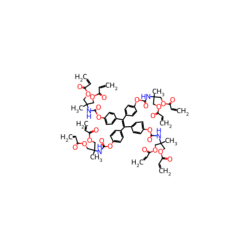 C=CC(=O)OCC(C)(COC(=O)C=C)NC(=O)Oc1ccc(C(=C(c2ccc(OC(=O)NC(C)(COC(=O)C=C)COC(=O)C=C)cc2)c2ccc(OC(=O)NC(C)(COC(=O)C=C)COC(=O)C=C)cc2)c2ccc(OC(=O)NC(C)(COC(=O)C=C)COC(=O)C=C)cc2)cc1